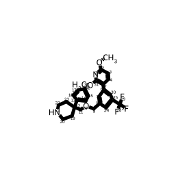 COc1ccc(-c2cc(COCC3(c4ccccc4)CCNCC3)cc(C(F)(F)F)c2)c(OC)n1